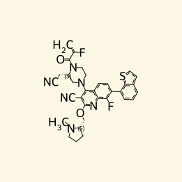 C=C(F)C(=O)N1CCN(c2c(C#N)c(OC[C@@H]3CCCN3C)nc3c(F)c(-c4cccc5ccsc45)ccc23)C[C@@H]1CC#N